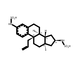 C=CC[C@]12CC[C@]3(C)C[C@H](NS(=O)(=O)O)C[C@H]3[C@@H]1CCc1cc(NS(=O)(=O)O)ccc12